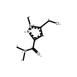 CN(C)C(=O)c1cc(CCl)n(C)n1